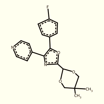 CC1(C)COC(c2nc(-c3ccncc3)c(-c3ccc(F)cc3)o2)OC1